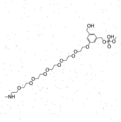 CNCCOCCOOCCOOCCOOCCOOCCOc1cc(CO)cc(COP(=O)(O)OC)c1